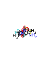 CCc1c(C(N)=S)cc(F)c(-n2c(=O)cc(C(F)(F)F)n(C)c2=O)c1N=S(=O)=O